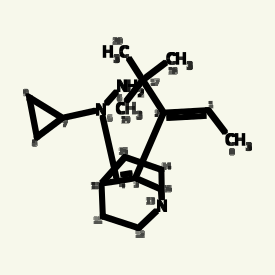 C/C=C(\C1=C(N(N)C2CC2)C2CCN(CC2)C1)C(C)(C)C